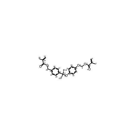 C=C(C)C(=O)OCOc1ccc(OC(F)(F)c2ccc(COC(=O)C(=C)C)cc2)cc1